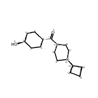 O=C([C@H]1CC[C@H](O)CC1)N1CCN(C2CCC2)CC1